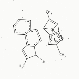 CC1=C2c3sc(C)cc3C1[Si]2(C)C.CC1=Cc2c(ccc3ccccc23)[CH]1[Zr]